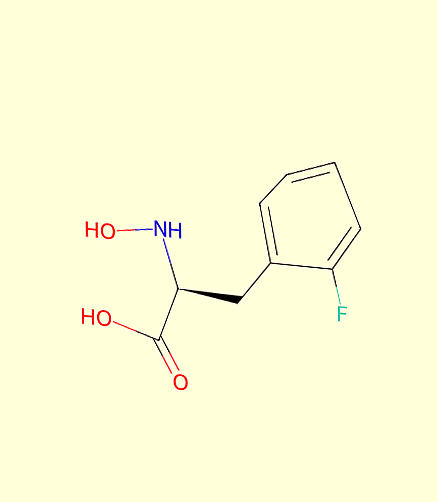 O=C(O)[C@H](Cc1ccccc1F)NO